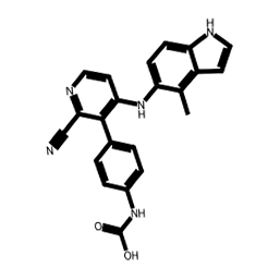 Cc1c(Nc2ccnc(C#N)c2-c2ccc(NC(=O)O)cc2)ccc2[nH]ccc12